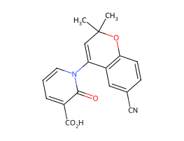 CC1(C)C=C(n2cccc(C(=O)O)c2=O)c2cc(C#N)ccc2O1